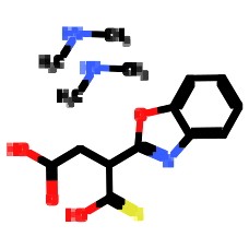 CNC.CNC.O=C(O)CC(C(O)=S)c1nc2ccccc2o1